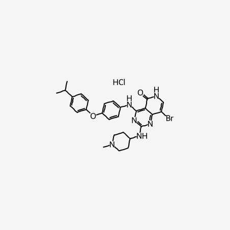 CC(C)c1ccc(Oc2ccc(Nc3nc(NC4CCN(C)CC4)nc4c(Br)c[nH]c(=O)c34)cc2)cc1.Cl